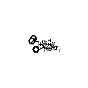 O=C(N(CC12CC3CC(CC(C3)C1)C2)c1ccccc1)C(F)(F)S(=O)(=O)NS(=O)(=O)C(F)(F)F